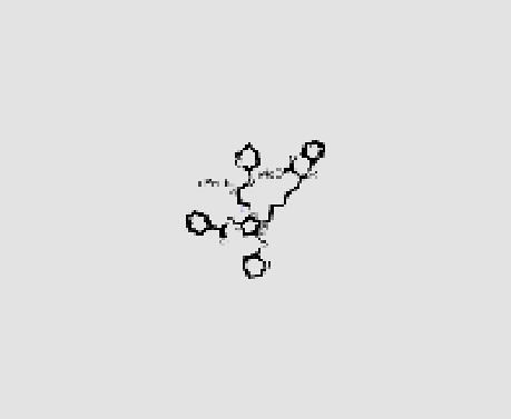 CCCCC[C@@H](/C=C/[C@@H]1[C@@H](CCCCCC([Se]c2ccccc2)C(=O)OC)[C@@H](OC2CCCCO2)C[C@H]1OC(=O)c1ccccc1)OC1CCCCO1